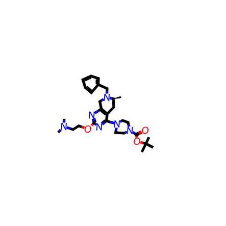 C[C@H]1Cc2c(nc(OCCN(C)C)nc2N2CCN(C(=O)OC(C)(C)C)CC2)CN1Cc1ccccc1